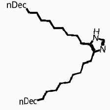 CCCCCCCCCCCCCCCCCCCc1nc[nH]c1CCCCCCCCCCCCCCCCCCC